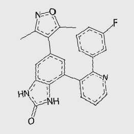 Cc1noc(C)c1-c1cc(-c2cccnc2-c2cccc(F)c2)c2[nH]c(=O)[nH]c2c1